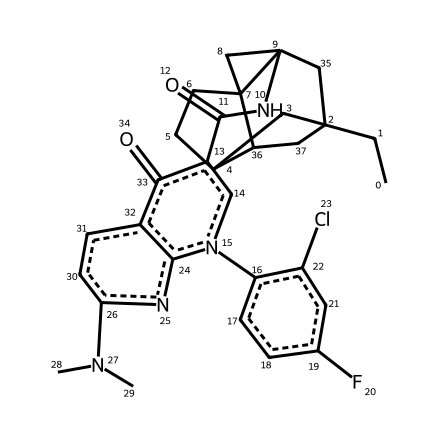 CCC12CC3CCC4(CC4(NC(=O)c4cn(-c5ccc(F)cc5Cl)c5nc(N(C)C)ccc5c4=O)C1)C3C2